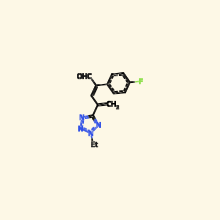 C=C(/C=C(/C=O)c1ccc(F)cc1)c1nnn(CC)n1